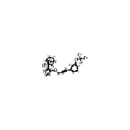 FC(F)(F)Oc1cccc(C#CCOc2nsnc2[C@@H]2CN3CCC2CC3)c1